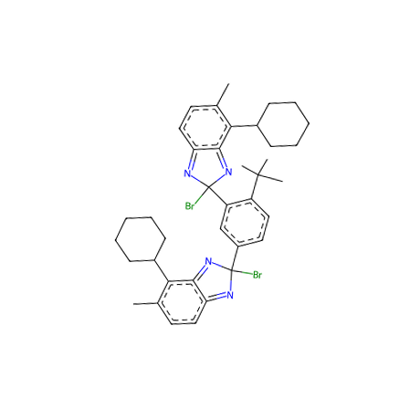 Cc1ccc2c(c1C1CCCCC1)=NC(Br)(c1ccc(C(C)(C)C)c(C3(Br)N=c4ccc(C)c(C5CCCCC5)c4=N3)c1)N=2